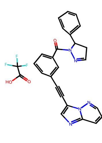 O=C(O)C(F)(F)F.O=C(c1cccc(C#Cc2cnc3cccnn23)c1)N1N=CCC1c1ccccc1